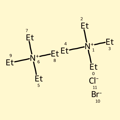 CC[N+](CC)(CC)CC.CC[N+](CC)(CC)CC.[Br-].[Cl-]